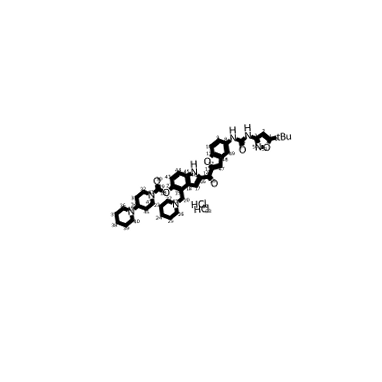 CC(C)(C)c1cc(NC(=O)Nc2ccc3oc(C(=O)c4cc5c(CN6CCCCC6)c(OC(=O)N6CCC(N7CCCCC7)CC6)ccc5[nH]4)cc3c2)no1.Cl.Cl